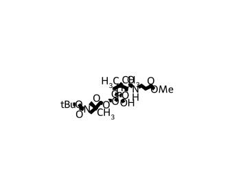 COC(=O)CCNC(=O)[C@@H]1O[PH](O)(OCOC(=O)C2(C)CN(C(=O)OC(C)(C)C)C2)OCC1(C)C